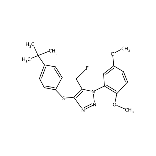 COc1ccc(OC)c(-n2nnc(Sc3ccc(C(C)(C)C)cc3)c2CF)c1